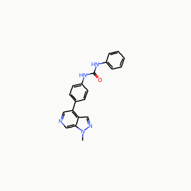 Cn1ncc2c(-c3ccc(NC(=O)Nc4ccccc4)cc3)cncc21